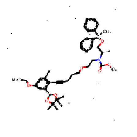 COCOc1cc(C)c(C#CCCCOCCN(C(=O)OC(C)(C)C)[C@@H](C)CO[Si](c2ccccc2)(c2ccccc2)C(C)(C)C)c(B2OC(C)(C)C(C)(C)O2)c1